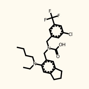 CCCCN(CC)c1cc2c(cc1CN(Cc1cc(Cl)cc(C(F)(F)F)c1)C(=O)O)CCC2